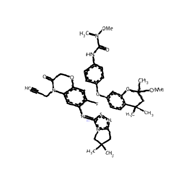 C#CCN1C(=O)COc2cc(F)c(/N=c3\snc4n3CC(C)(C)C4)cc21.CON(C)C(=O)Nc1ccc(Oc2ccc3c(c2)OC(C)(OC)CC3(C)C)cc1